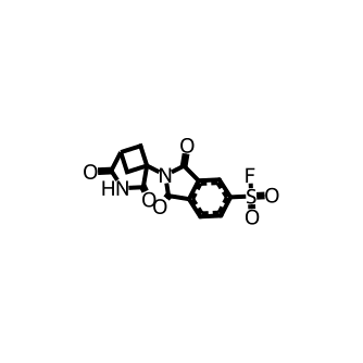 O=C1NC(=O)C2(N3C(=O)c4ccc(S(=O)(=O)F)cc4C3=O)CC1C2